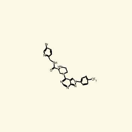 O=C(NCc1ccc(Br)cn1)C1CN(c2ncnc3nn(-c4ccc(C(F)(F)F)cc4)cc23)CCN1